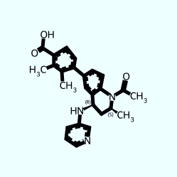 CC(=O)N1c2ccc(-c3ccc(C(=O)O)c(C)c3C)cc2[C@H](Nc2cccnc2)C[C@@H]1C